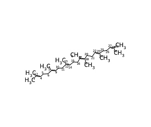 C.CC(C)=CCC/C(C)=C/CC/C(C)=C/CC/C=C(\C)CC/C=C(\C)CCC=C(C)C